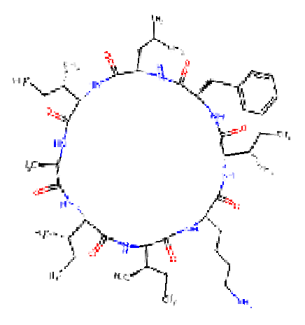 CC[C@@H](C)[C@H]1NC(=O)[C@H]([C@@H](C)CC)NC(=O)[C@@H](C)NC(=O)[C@H]([C@@H](C)CC)NC(=O)[C@@H](CC(C)C)NC(=O)[C@@H](Cc2ccccc2)NC(=O)[C@H]([C@@H](C)CC)NC(=O)[C@H](CCCCN)NC1=O